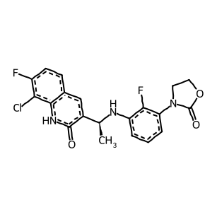 C[C@H](Nc1cccc(N2CCOC2=O)c1F)c1cc2ccc(F)c(Cl)c2[nH]c1=O